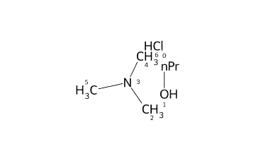 CCCO.CN(C)C.Cl